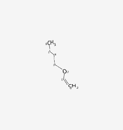 C=COC[CH]CC